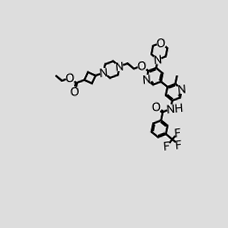 CCOC(=O)C1CC(N2CCN(CCOc3ncc(-c4cc(NC(=O)c5cccc(C(F)(F)F)c5)cnc4C)cc3N3CCOCC3)CC2)C1